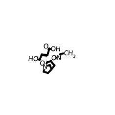 CC=NOC1CC2CCN(C2)C1.O=C(O)/C=C/C(=O)O